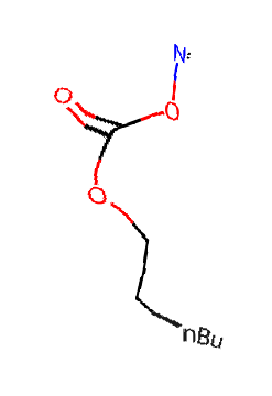 CCCCCCOC(=O)O[N]